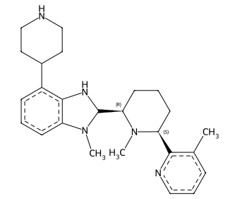 Cc1cccnc1[C@@H]1CCC[C@H](C2Nc3c(C4CCNCC4)cccc3N2C)N1C